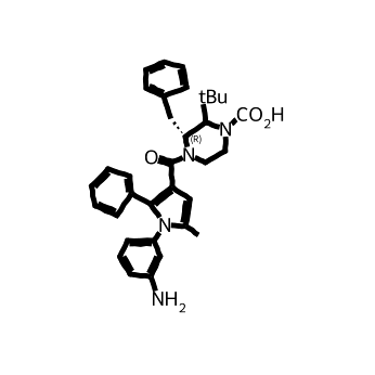 Cc1cc(C(=O)N2CCN(C(=O)O)C(C(C)(C)C)[C@H]2Cc2ccccc2)c(-c2ccccc2)n1-c1cccc(N)c1